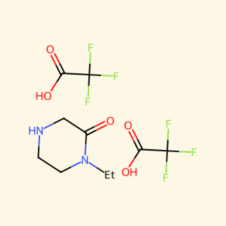 CCN1CCNCC1=O.O=C(O)C(F)(F)F.O=C(O)C(F)(F)F